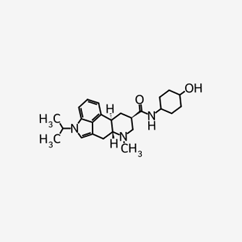 CC(C)n1cc2c3c(cccc31)[C@H]1C[C@@H](C(=O)NC3CCC(O)CC3)CN(C)[C@@H]1C2